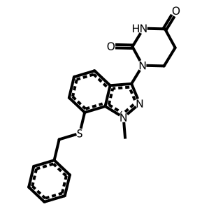 Cn1nc(N2CCC(=O)NC2=O)c2cccc(SCc3ccccc3)c21